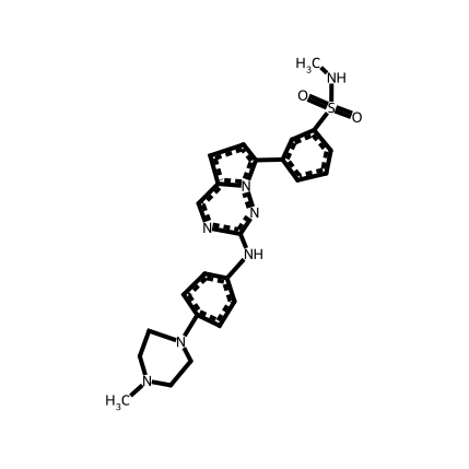 CNS(=O)(=O)c1cccc(-c2ccc3cnc(Nc4ccc(N5CCN(C)CC5)cc4)nn23)c1